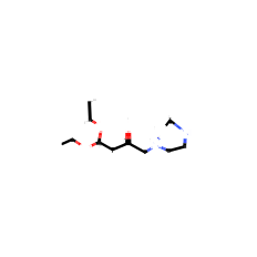 CCOC(CC(=O)CN1CCNCC1)OCC